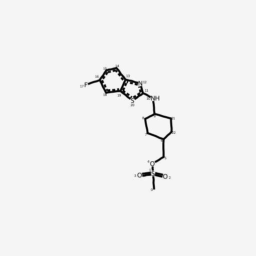 CS(=O)(=O)OCC1CCC(Nc2nc3ccc(F)cc3s2)CC1